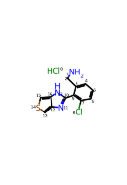 Cl.NCc1cccc(Cl)c1-c1nc2cscc2[nH]1